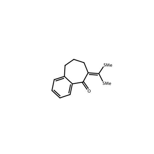 CSC(SC)=C1CCCc2ccccc2C1=O